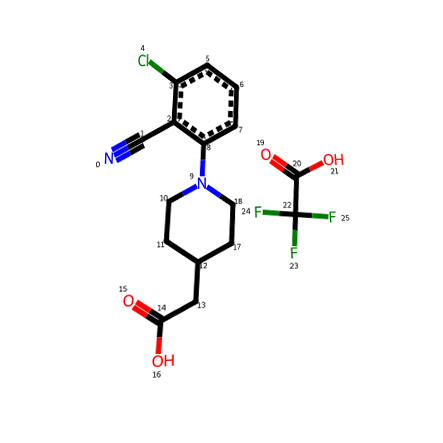 N#Cc1c(Cl)cccc1N1CCC(CC(=O)O)CC1.O=C(O)C(F)(F)F